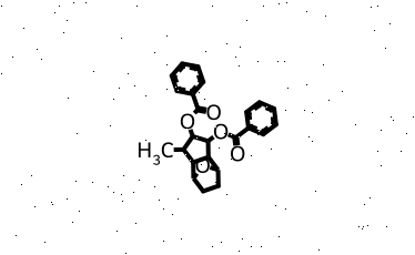 CC1C(OC(=O)c2ccccc2)C(OC(=O)c2ccccc2)C2C3CCC(O3)C12